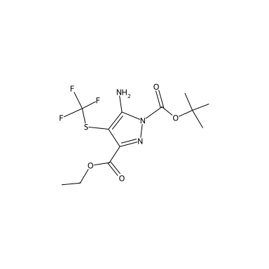 CCOC(=O)c1nn(C(=O)OC(C)(C)C)c(N)c1SC(F)(F)F